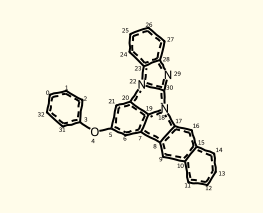 c1ccc(Oc2cc3c4cc5ccccc5cc4n4c3c(c2)n2c3ccccc3nc24)cc1